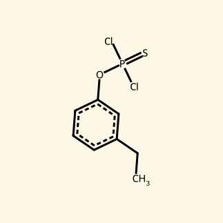 CCc1cccc(OP(=S)(Cl)Cl)c1